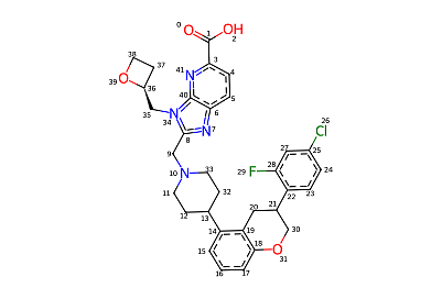 O=C(O)c1ccc2nc(CN3CCC(c4cccc5c4CC(c4ccc(Cl)cc4F)CO5)CC3)n(C[C@@H]3CCO3)c2n1